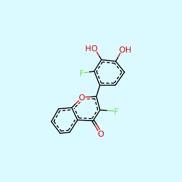 O=c1c(F)c(-c2ccc(O)c(O)c2F)oc2ccccc12